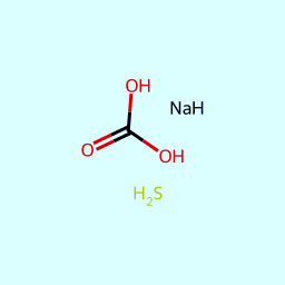 O=C(O)O.S.[NaH]